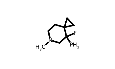 CN1CCC2(CC2)C(F)(P)C1